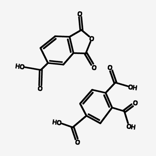 O=C(O)c1ccc(C(=O)O)c(C(=O)O)c1.O=C(O)c1ccc2c(c1)C(=O)OC2=O